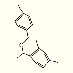 Cc1ccc(COC(C)c2ccc(C)cc2C)cc1